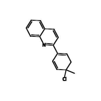 CC1(Cl)C=CC(c2ccc3ccccc3n2)=CC1